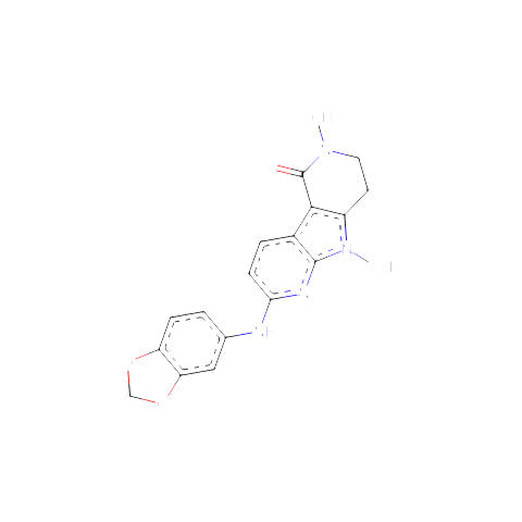 CN1CCc2c(c3ccc(Nc4ccc5c(c4)OCO5)nc3n2C)C1=O